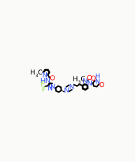 Cc1cccc(C(=O)Nc2cn([C@H]3CC[C@H](CN4CCN(CCCc5cccc6c5n(C)c(=O)n6C5CCC(=O)NC5=O)CC4)CC3)nc2C(F)F)n1